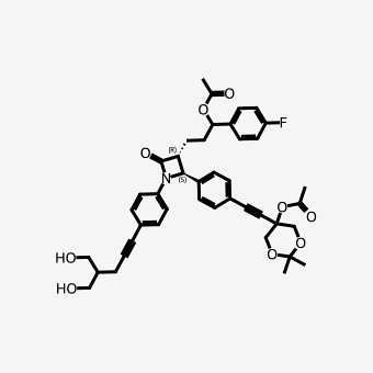 CC(=O)OC(CC[C@H]1C(=O)N(c2ccc(C#CCC(CO)CO)cc2)[C@@H]1c1ccc(C#CC2(OC(C)=O)COC(C)(C)OC2)cc1)c1ccc(F)cc1